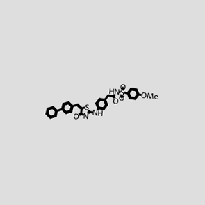 COc1ccc(S(=O)(=O)NC(=O)Cc2ccc(NC3=NC(=O)/C(=C\c4ccc(-c5ccccc5)cc4)S3)cc2)cc1